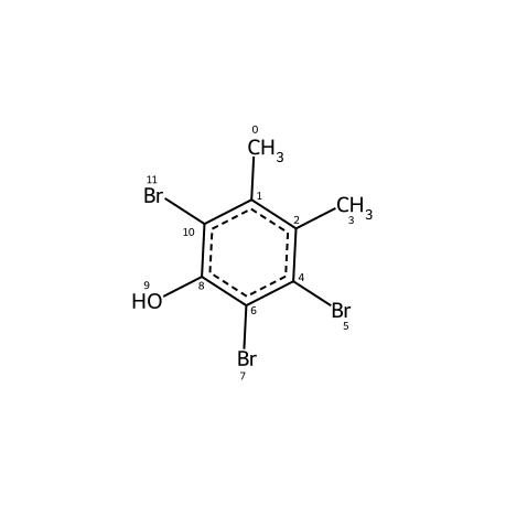 Cc1c(C)c(Br)c(Br)c(O)c1Br